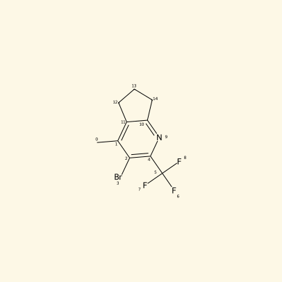 Cc1c(Br)c(C(F)(F)F)nc2c1CCC2